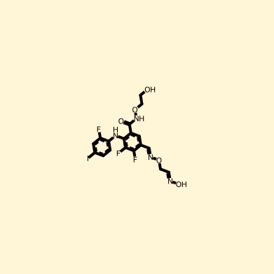 O=C(NOCCO)c1cc(C=NOCC=NO)c(F)c(F)c1Nc1ccc(I)cc1F